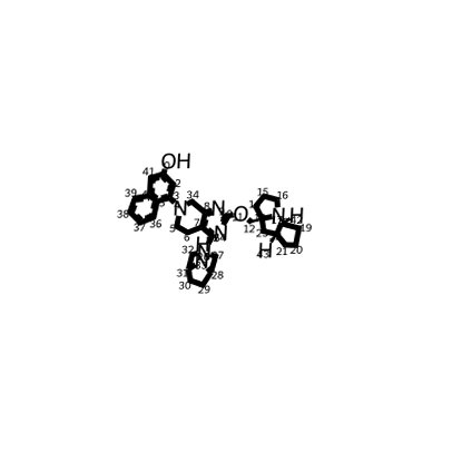 Oc1cc(N2CCc3c(nc(OC[C@@]45CCCN4[C@@H]4CCC[C@@H]4C5)nc3N3CC4CCC(C3)N4)C2)c2ccccc2c1